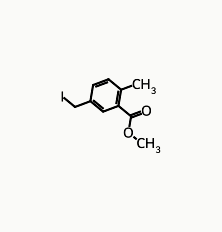 COC(=O)c1cc(CI)ccc1C